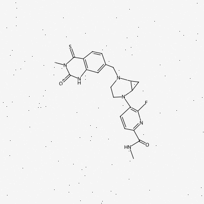 CNC(=O)c1ccc(N2CCN(Cc3ccc4c(=S)n(C)c(=O)[nH]c4c3)C3CC32)c(F)n1